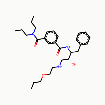 CCCOCCNC[C@@H](O)[C@H](Cc1ccccc1)NC(=O)c1cccc(C(=O)N(CCC)CCC)c1